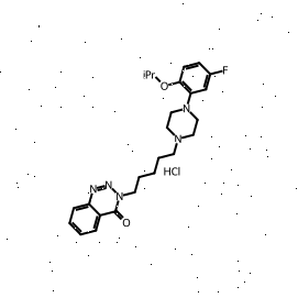 CC(C)Oc1ccc(F)cc1N1CCN(CCCCCn2nnc3ccccc3c2=O)CC1.Cl